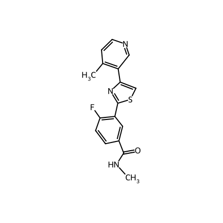 CNC(=O)c1ccc(F)c(-c2nc(-c3cnccc3C)cs2)c1